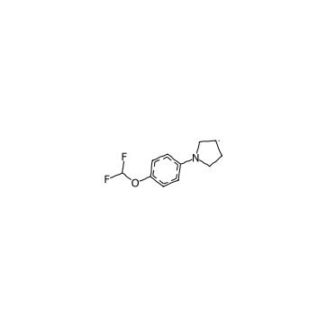 FC(F)Oc1ccc(N2C[CH]CC2)cc1